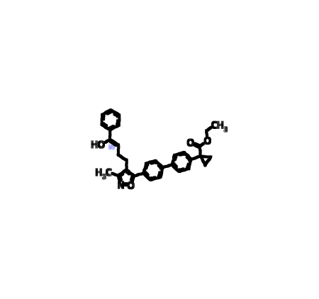 CCOC(=O)C1(c2ccc(-c3ccc(-c4onc(C)c4CC/C=C(\O)c4ccccc4)cc3)cc2)CC1